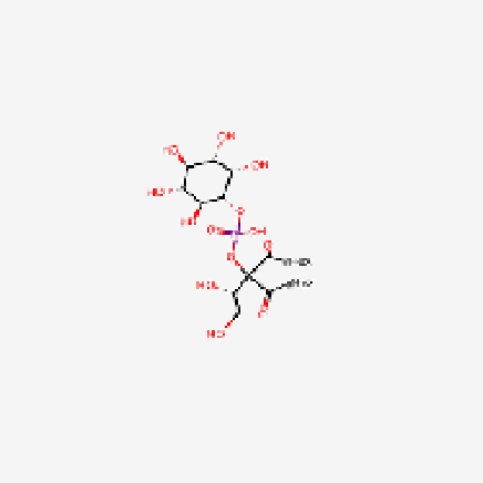 CCCCCCC(=O)C(OP(=O)(O)O[C@@H]1[C@@H](O)[C@H](O)[C@@H](O)[C@H](O)[C@@H]1O)(C(=O)CCCCCC)[C@@H](O)CO